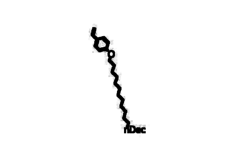 C=Cc1ccc(OCCCCCCCCCCCCCCCCCCCCCC)cc1